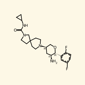 N[C@H]1C[C@@H](N2CCC3(CCN(C(=O)NC4CC4)C3)CC2)CO[C@@H]1c1cc(F)ccc1F